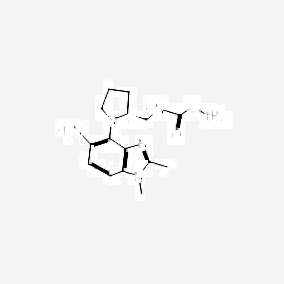 Cc1nc2c(N3CCC[C@H]3CNC(=O)OC(C)(C)C)c(N)ccc2n1C